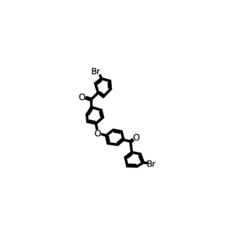 O=C(c1ccc(Oc2ccc(C(=O)c3cccc(Br)c3)cc2)cc1)c1cccc(Br)c1